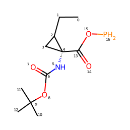 CCC1C[C@]1(NC(=O)OC(C)(C)C)C(=O)OP